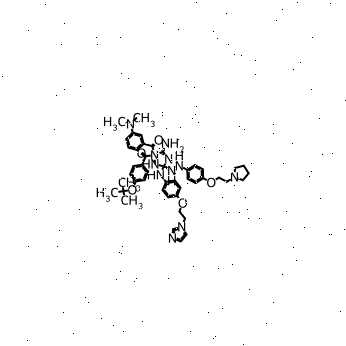 CN(C)c1cccc(C(=O)[N+]2(C(=O)c3ccc(OC(C)(C)C)cc3)NC(NNc3ccc(OCCN4CCCC4)cc3)(Nc3ccc(OCCn4ccnc4)cc3)N=C2N)c1